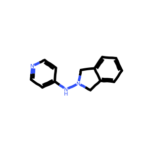 c1ccc2c(c1)CN(Nc1ccncc1)C2